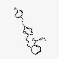 NC(=O)c1ccccc1CC[CH]c1nc(CCc2ccc(Br)cc2)no1